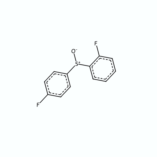 [O-][S+](c1ccc(F)cc1)c1ccccc1F